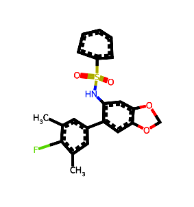 Cc1cc(-c2cc3c(cc2NS(=O)(=O)c2ccccc2)OCO3)cc(C)c1F